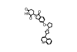 O=C1CCC(N2Cc3cc(O[C@H]4CCCC4N4CC(c5ccnc6ccccc56)C4)ccc3C2=O)C(=O)N1